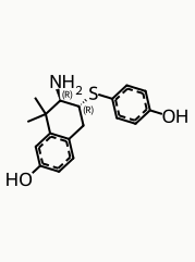 CC1(C)c2cc(O)ccc2C[C@@H](Sc2ccc(O)cc2)[C@@H]1N